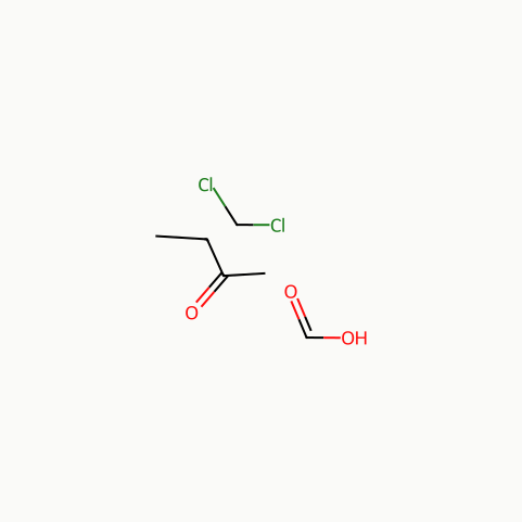 CCC(C)=O.ClCCl.O=CO